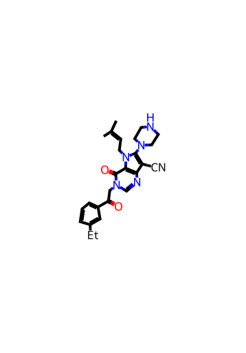 CCc1cccc(C(=O)Cn2cnc3c(C#N)c(N4CCNCC4)n(CC=C(C)C)c3c2=O)c1